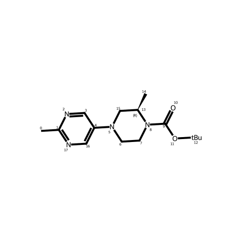 Cc1ncc(N2CCN(C(=O)OC(C)(C)C)[C@H](C)C2)cn1